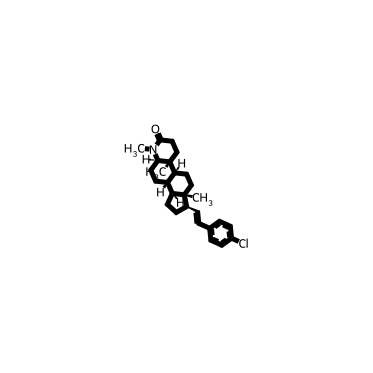 CN1C(=O)CC[C@]2(C)[C@H]3CC[C@]4(C)[C@@H](/C=C/c5ccc(Cl)cc5)CC[C@H]4[C@@H]3CC[C@@H]12